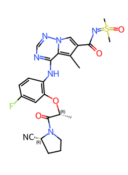 Cc1c(C(=O)N=S(C)(C)=O)cn2ncnc(Nc3ccc(F)cc3O[C@H](C)C(=O)N3CCC[C@@H]3C#N)c12